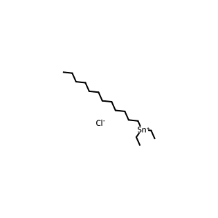 CCCCCCCCCCC[CH2][Sn+]([CH2]C)[CH2]C.[Cl-]